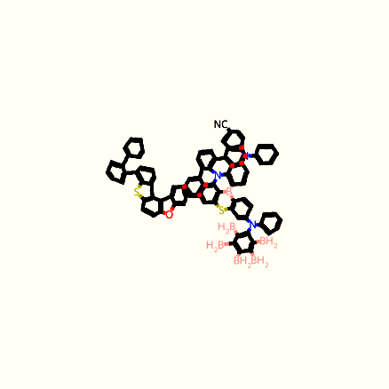 Bc1c(B)c(B)c(N(c2ccccc2)c2ccc3c(c2)Sc2cc(-c4ccc5c(c4)oc4ccc6sc7c(-c8ccccc8-c8ccccc8)cccc7c6c45)cc4c2B3c2ccc(N(c3ccccc3)c3ccc(C#N)cc3)cc2N4c2c(-c3ccccc3)cccc2-c2ccccc2)c(B)c1B